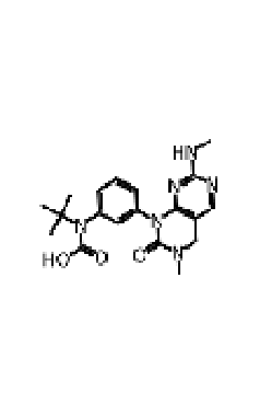 CNc1ncc2c(n1)N(c1cccc(N(C(=O)O)C(C)(C)C)c1)C(=O)N(C)C2